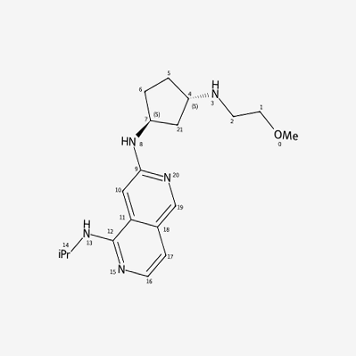 COCCN[C@H]1CC[C@H](Nc2cc3c(NC(C)C)nccc3cn2)C1